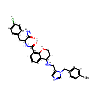 CC(C)(C)c1ccc(Cn2cncc2CNC2CCOc3c(C(=O)NC(Cc4ccc(Cl)cc4)C(N)=O)cccc32)cc1